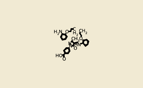 C=CCOc1ccccc1N.C=CCOc1ccccc1NC=C1C(=O)N(c2ccc(C(=O)O)cc2)N=C1C